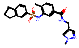 Cc1ccc(C(=O)NCc2cnn(C)c2)cc1NS(=O)(=O)c1ccc2c(c1)CCC2